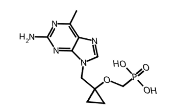 Cc1nc(N)nc2c1ncn2CC1(OCP(=O)(O)O)CC1